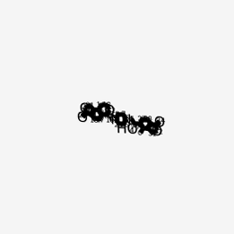 Cc1c([C@H](O)CN2CCN(C[C@@H]3OCCc4c3ccc3c4COC3=O)CC2)ccc2c1COC2=O